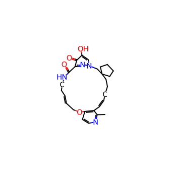 Cc1nccc2c1/C=C\CCCC1(CCCC1)Cn1cc(O)c(=O)c(n1)C(=O)NCC/C=C/CO2